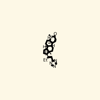 CCC(=Cc1ncncn1)[C@H]1CC[C@H]2[C@@H]3CC[C@H]4N(C)C(=O)C=C[C@]4(C)[C@H]3CC[C@]12C